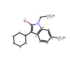 O=C(O)Cn1c(Br)c(C2CCCCC2)c2ccc(C(=O)O)cc21